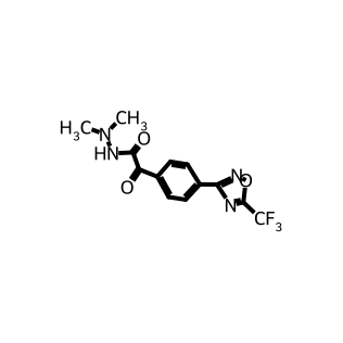 CN(C)NC(=O)C(=O)c1ccc(-c2noc(C(F)(F)F)n2)cc1